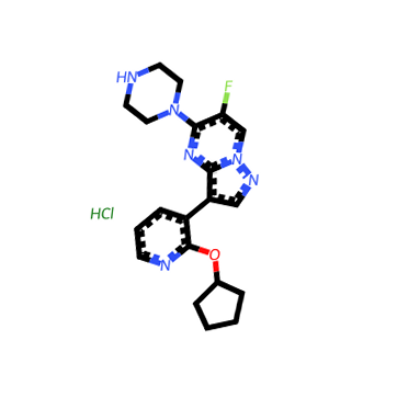 Cl.Fc1cn2ncc(-c3cccnc3OC3CCCC3)c2nc1N1CCNCC1